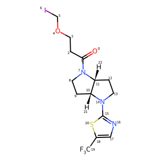 O=C(CCOCI)N1CC[C@@H]2[C@H]1CCN2c1ncc(C(F)(F)F)s1